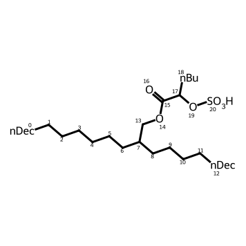 CCCCCCCCCCCCCCCCC(CCCCCCCCCCCCCC)COC(=O)C(CCCC)OS(=O)(=O)O